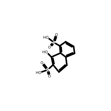 O=S(=O)(O)c1ccc2cccc(S(=O)(=O)O)c2c1O